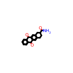 NC(=O)C1CCc2cc3c(cc2C1)C(=O)c1ccccc1C3=O